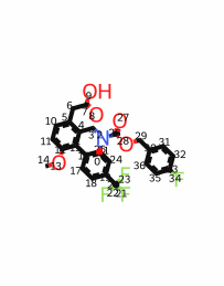 CCN(Cc1c(CC(=O)O)ccc(OC)c1-c1ccc(C(F)(F)F)cc1)C(=O)OCc1ccc(F)cc1